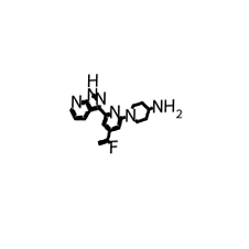 C=C(F)c1cc(-c2n[nH]c3ncccc23)nc(N2CCC(N)CC2)c1